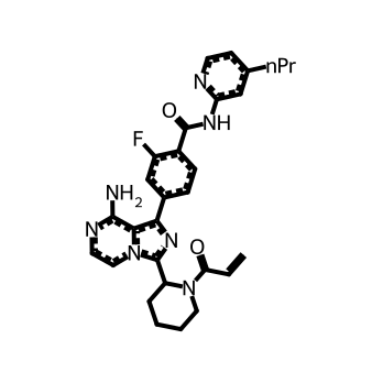 C=CC(=O)N1CCCCC1c1nc(-c2ccc(C(=O)Nc3cc(CCC)ccn3)c(F)c2)c2c(N)nccn12